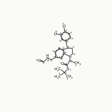 CN(C(=O)OC(C)(C)C)C1CCC(c2ccc(Cl)c(Cl)c2)c2ccc(CNC=O)cc21